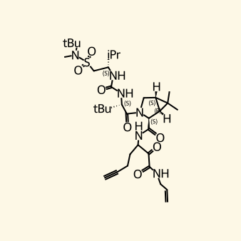 C#CCCC(NC(=O)[C@@H]1[C@@H]2[C@H](CN1C(=O)[C@@H](NC(=O)N[C@H](CS(=O)(=O)N(C)C(C)(C)C)C(C)C)C(C)(C)C)C2(C)C)C(=O)C(=O)NCC=C